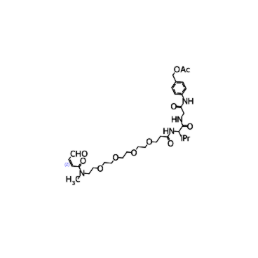 CC(=O)OCc1ccc(NC(=O)CNC(=O)C(NC(=O)CCOCCOCCOCCOCCN(C)C(=O)/C=C\C=O)C(C)C)cc1